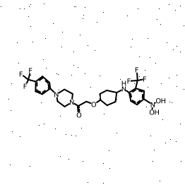 O=C(COC1CCC(Nc2ccc(N(O)O)cc2C(F)(F)F)CC1)N1CCN(c2ccc(C(F)(F)F)cc2)CC1